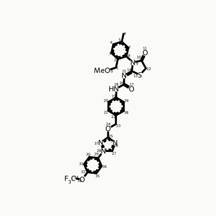 COCc1ccc(C)cc1N1C(=O)CSC1=NC(=O)Nc1ccc(COc2ncn(-c3ccc(OC(F)(F)F)cc3)n2)cc1